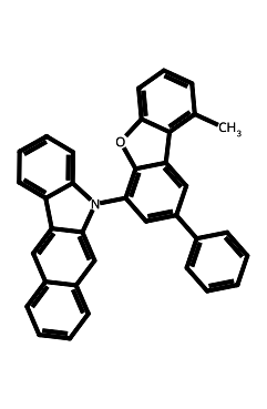 Cc1cccc2oc3c(-n4c5ccccc5c5cc6ccccc6cc54)cc(-c4ccccc4)cc3c12